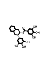 O=C(O[C@@H]1Cc2ccccc2C[C@H]1c1cc(O)c(O)c(O)c1)c1cc(O)c(O)c(O)c1